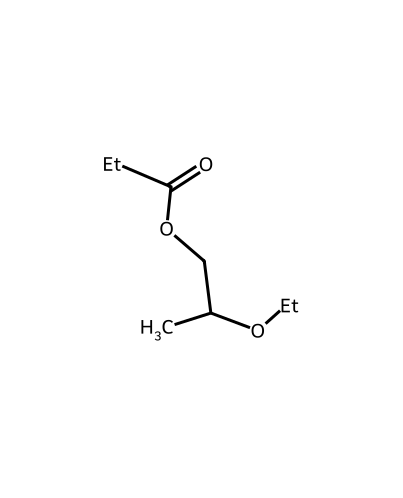 CCOC(C)COC(=O)CC